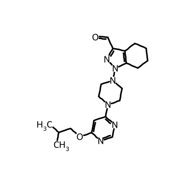 CC(C)COc1cc(N2CCN(n3nc(C=O)c4c3CCCC4)CC2)ncn1